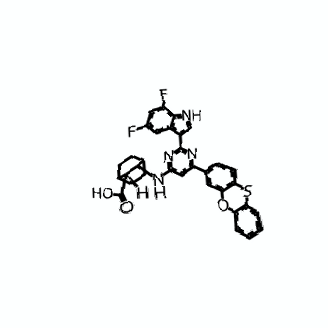 O=C(O)[C@@H]1C2CCC(CC2)C1Nc1cc(-c2ccc3c(c2)Oc2ccccc2S3)nc(-c2c[nH]c3c(F)cc(F)cc23)n1